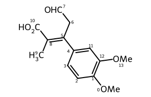 COc1ccc(C(CC=O)=C(C)C(=O)O)cc1OC